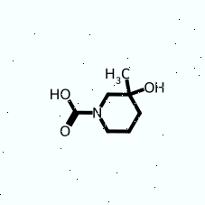 CC1(O)CCCN(C(=O)O)C1